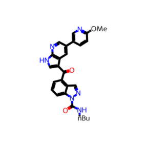 CCCCNC(=O)n1ncc2c(C(=O)c3c[nH]c4ncc(-c5ccc(OC)nc5)cc34)cccc21